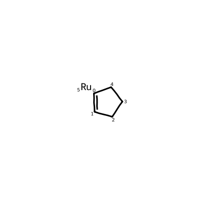 C1=CCCC1.[Ru]